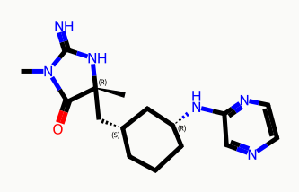 CN1C(=N)N[C@](C)(C[C@H]2CCC[C@@H](Nc3cnccn3)C2)C1=O